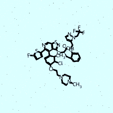 CC1C(c2c(-c3ccc(F)s3)ncc3snc(O[C@H](Cc4ccccc4OCc4ccnn4CC(F)(F)F)C(=O)O)c23)=CC=C(OCCN2CCN(C)CC2)C1Cl